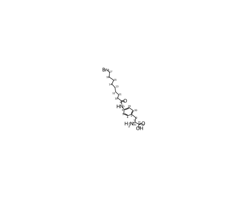 N[C@@H](Cc1ccc(NC(=O)CCCCCCCCBr)cc1)C(=O)O